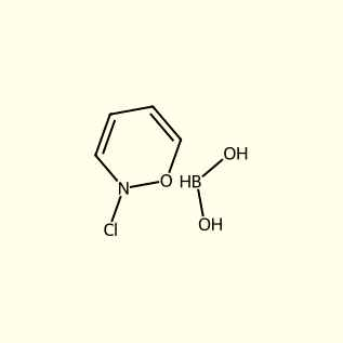 ClN1C=CC=CO1.OBO